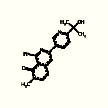 CC(C)c1nc(-c2ccc(C(C)(C)O)nc2)cc2ccn(C)c(=O)c12